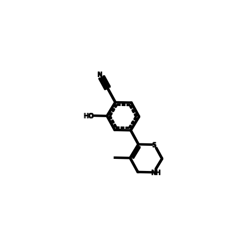 CC1=C(c2ccc(C#N)c(O)c2)SCNC1